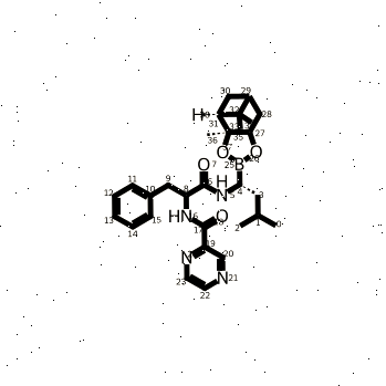 CC(C)C[C@H](NC(=O)C(Cc1ccccc1)NC(=O)c1cnccn1)B1OC2CC3C[C@@H](C3(C)C)[C@]2(C)O1